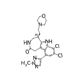 Cn1ncc(-c2cc(Cl)c(Cl)c3[nH]c4c(c23)CC(=O)NC[C@H]4CCN2CCOCC2)n1